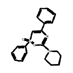 O=S1(c2ccccc2)=NC(N2CCCCC2)=NC(c2ccccc2)=C1